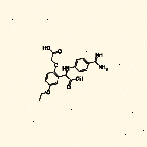 CCOc1ccc(OCC(=O)O)c([C@@H](Nc2ccc(C(=N)N)cc2)C(=O)O)c1